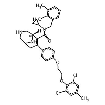 Cc1cc(Cl)c(OCCOc2ccc(C3=C(C(=O)N(Cc4cccc(C)c4C)C4CC4)[C@H]4CNCC(C3)N4)cc2)c(Cl)c1